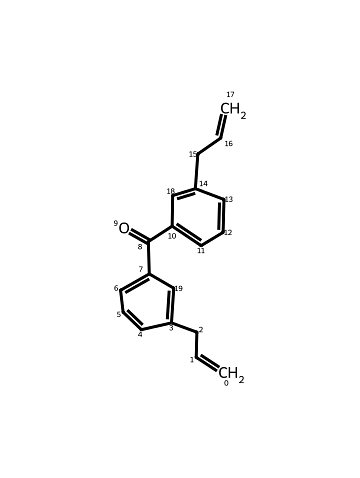 C=CCc1cccc(C(=O)c2cccc(CC=C)c2)c1